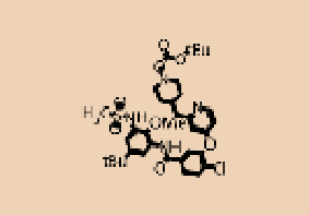 COc1c(NC(=O)c2ccc(Cl)c(Oc3ccnc(CC4CCN(OC(=O)OC(C)(C)C)CC4)c3)c2)cc(C(C)(C)C)cc1NS(C)(=O)=O